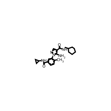 Cc1ccc(C(=O)NC2CC2)cc1-n1ncc(C(=O)NCC2CCCCC2)c1N